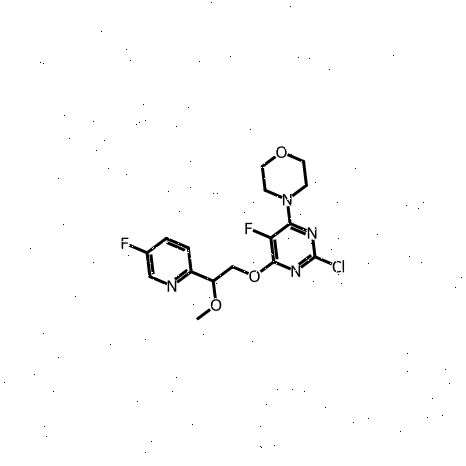 COC(COc1nc(Cl)nc(N2CCOCC2)c1F)c1ccc(F)cn1